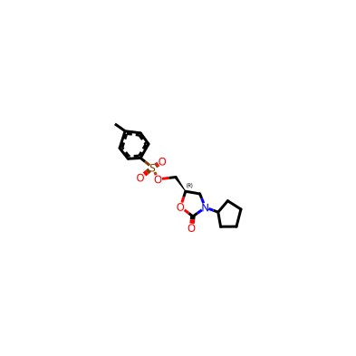 Cc1ccc(S(=O)(=O)OC[C@H]2CN(C3CCCC3)C(=O)O2)cc1